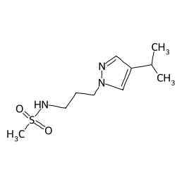 CC(C)c1cnn(CCCNS(C)(=O)=O)c1